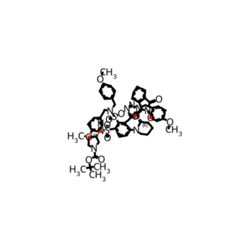 COc1ccc(CN(Cc2ccc(OC)cc2)S(=O)(=O)c2c(S(=O)(=O)N[C@@H]3CCN(C(=O)OC(C)(C)C)C3)ccc(N3CCC[C@@H](ON4C(=O)c5ccccc5C4=O)C3=O)c2-c2nnn(Cc3ccc(OC)cc3)n2)cc1